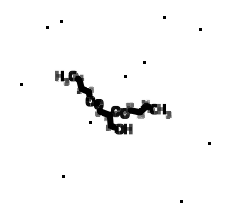 CCCCOOCC(CO)OOCCCC